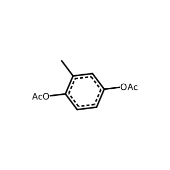 CC(=O)Oc1ccc(OC(C)=O)c(C)c1